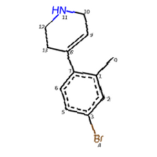 Cc1cc(Br)ccc1C1=CCNCC1